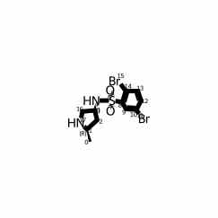 C[C@@H]1C[C@@H](NS(=O)(=O)c2cc(Br)ccc2Br)CN1